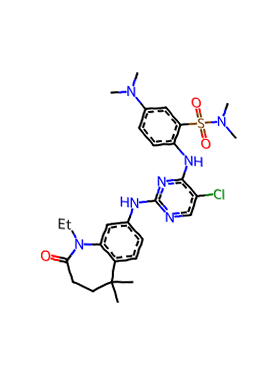 CCN1C(=O)CCC(C)(C)c2ccc(Nc3ncc(Cl)c(Nc4ccc(N(C)C)cc4S(=O)(=O)N(C)C)n3)cc21